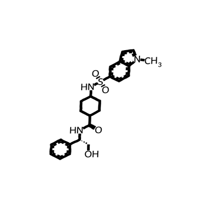 Cn1ccc2cc(S(=O)(=O)NC3CCC(C(=O)N[C@H](CO)c4ccccc4)CC3)ccc21